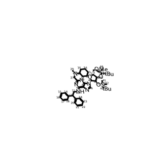 COC[C@H]1O[C@@H](n2cnc3c(NCC(c4ccccc4)c4ccccc4)nc(CN(C)C4CCCCC4)nc32)[C@H](O[Si](C)(C)C(C)(C)C)[C@@H]1O[Si](C)(C)C(C)(C)C